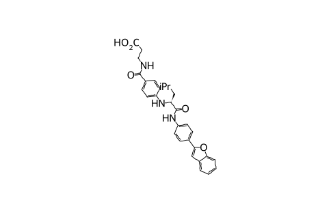 CC(C)C[C@H](Nc1ccc(C(=O)NCCC(=O)O)cc1)C(=O)Nc1ccc(-c2cc3ccccc3o2)cc1